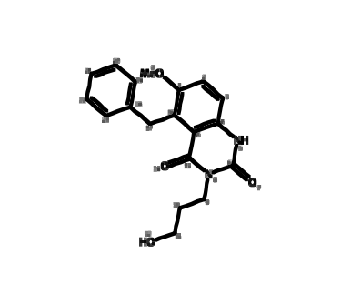 COc1ccc2[nH]c(=O)n(CCCO)c(=O)c2c1Cc1ccccc1